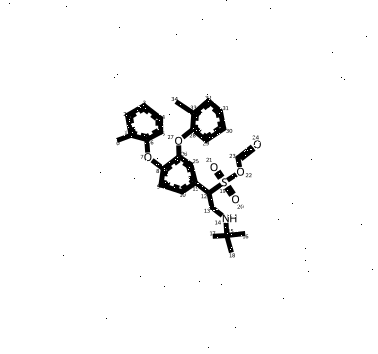 Cc1ccccc1Oc1ccc(C(CNC(C)(C)C)S(=O)(=O)OC=O)cc1Oc1ccccc1C